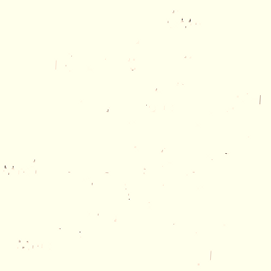 COCCOCCCC1(CCCOCCOC)c2cc(C)ccc2-c2c1c1c(c3cc(C)ccc23)OC(c2ccc(C)cc2)(c2ccc(OC)cc2)C=C1